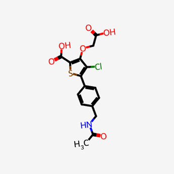 CC(=O)NCc1ccc(-c2sc(C(=O)O)c(OCC(=O)O)c2Cl)cc1